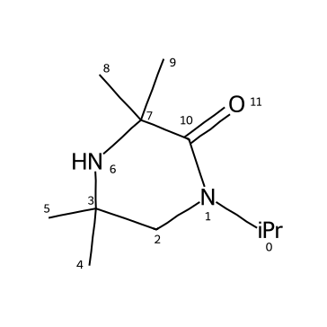 CC(C)N1CC(C)(C)NC(C)(C)C1=O